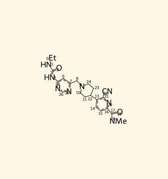 CCNC(=O)Nc1cc(CN2CCC(c3ccc(C(=O)NC)nc3C#N)CC2)ncn1